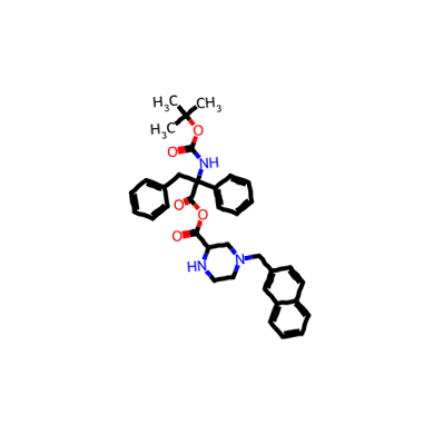 CC(C)(C)OC(=O)NC(Cc1ccccc1)(C(=O)OC(=O)C1CN(Cc2ccc3ccccc3c2)CCN1)c1ccccc1